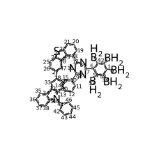 Bc1c(B)c(B)c(-c2nc(-c3ccccc3)nc(-c3cccc4sc5ccc(-c6ccc7c(c6)c6ccccc6n7-c6ccccc6)cc5c34)n2)c(B)c1B